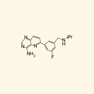 CC(C)NCc1cc(F)cc(-c2ccc3ncnc(N)c3n2)c1